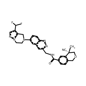 C[C@@]1(C#N)COCc2ccc(C(=O)NCc3cc4cc(N5CCn6ncc(C(F)F)c6C5)ccc4nn3)cc21